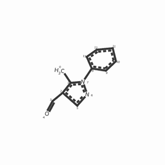 Cc1c(C=O)cnn1-c1ccccc1